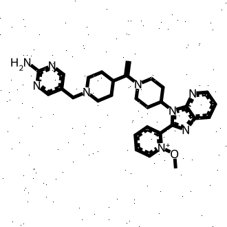 C=C(C1CCN(Cc2cnc(N)nc2)CC1)N1CCC(n2c(-c3cccc[n+]3OC)nc3cccnc32)CC1